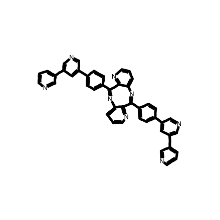 c1cncc(-c2cncc(-c3ccc(/C4=N/c5cccnc5/C(c5ccc(-c6cncc(-c7cccnc7)c6)cc5)=N\c5cccnc54)cc3)c2)c1